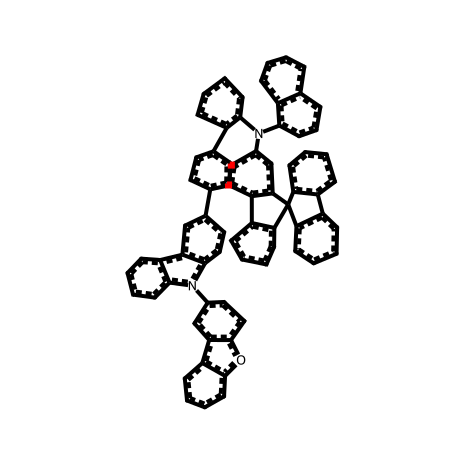 c1ccc(N(c2ccc3c(c2)C2(c4ccccc4-c4ccccc42)c2ccccc2-3)c2cccc3ccccc23)c(-c2ccc(-c3ccc4c(c3)c3ccccc3n4-c3ccc4oc5ccccc5c4c3)cc2)c1